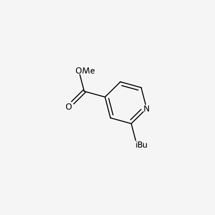 CCC(C)c1cc(C(=O)OC)ccn1